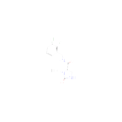 CN1C(=O)NCC1C(=O)NCC1=C(Cl)C(Cl)CC=C1